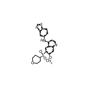 COc1cc2nccc(Nc3ccc4scnc4c3)c2cc1S(=O)(=O)C1CCOCC1